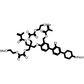 C=C(C)C(=O)OCc1cc(-c2ccc(C3CCC(CCCCC)CC3)cc2CC)ccc1OCC(COC(=O)C(=C)C)(COC(=O)C(=O)OCCOC)COC(=O)C(=O)OCCOC